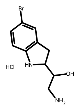 Cl.NCC(O)C1Cc2cc(Br)ccc2N1